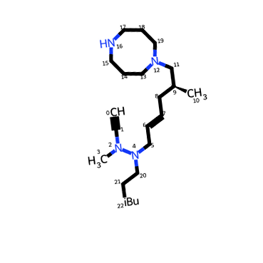 C#CN(C)N(CC=CC[C@H](C)CN1CCCNCCC1)CCC(C)CC